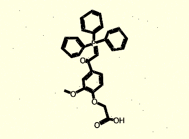 COc1cc(C(=O)C=P(c2ccccc2)(c2ccccc2)c2ccccc2)ccc1OCC(=O)O